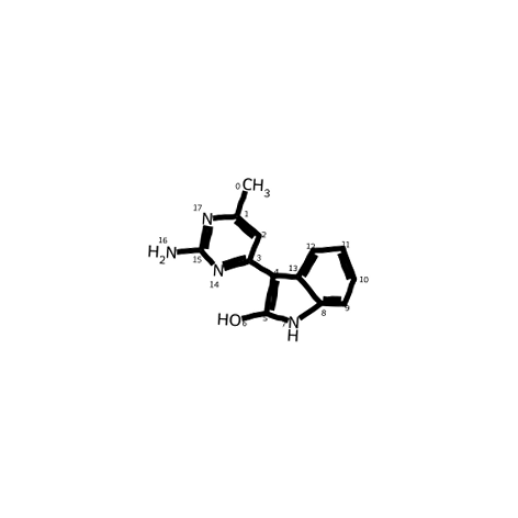 Cc1cc(-c2c(O)[nH]c3ccccc23)nc(N)n1